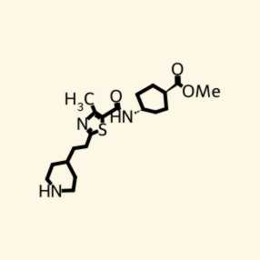 COC(=O)[C@H]1CC[C@H](NC(=O)c2sc(CCC3CCNCC3)nc2C)CC1